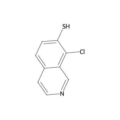 Sc1ccc2ccncc2c1Cl